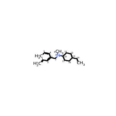 C=C/C=C(\C=C/C)CN(C)C1CCC(CC)CC1